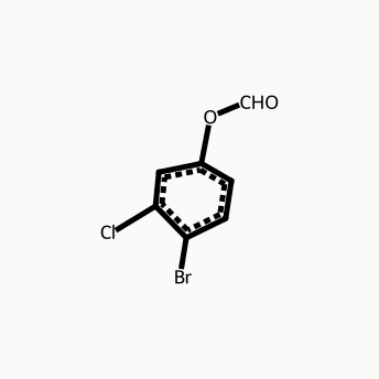 O=COc1ccc(Br)c(Cl)c1